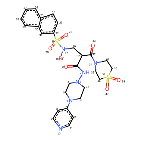 O=C(NN1CCN(c2ccncc2)CC1)C(CN(Br)S(=O)(=O)c1ccc2ccccc2c1)C(=O)N1CCS(=O)(=O)CC1